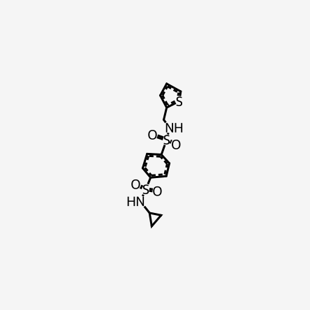 O=S(=O)(NCc1cccs1)c1ccc(S(=O)(=O)NC2CC2)cc1